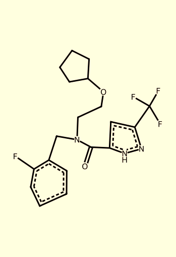 O=C(c1cc(C(F)(F)F)n[nH]1)N(CCOC1CCCC1)Cc1ccccc1F